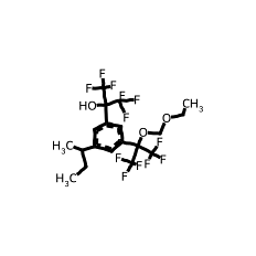 CCOCOC(c1cc(C(C)CC)cc(C(O)(C(F)(F)F)C(F)(F)F)c1)(C(F)(F)F)C(F)(F)F